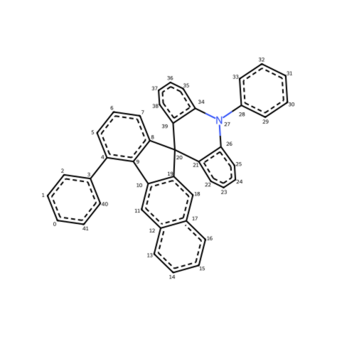 c1ccc(-c2cccc3c2-c2cc4ccccc4cc2C32c3ccccc3N(c3ccccc3)c3ccccc32)cc1